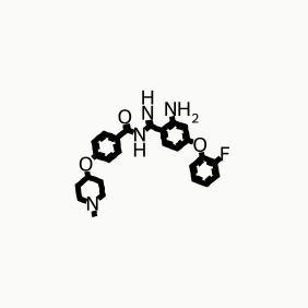 CN1CCC(Oc2ccc(C(=O)NC(=N)c3ccc(Oc4ccccc4F)cc3N)cc2)CC1